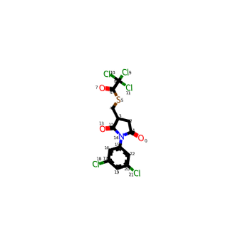 O=C1CC(CSC(=O)C(Cl)(Cl)Cl)C(=O)N1c1cc(Cl)cc(Cl)c1